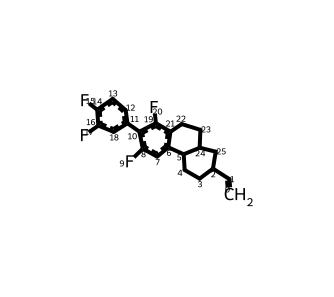 C=CC1CCC2c3cc(F)c(-c4ccc(F)c(F)c4)c(F)c3CCC2C1